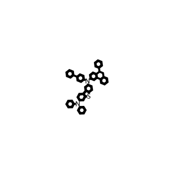 c1ccc(-c2ccc(N(c3ccc4c(c3)-c3ccccc3CC4c3ccccc3)c3ccc4sc5cc(N(c6ccccc6)c6ccccc6)ccc5c4c3)cc2)cc1